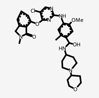 COc1cc(C(O)NC2CCN(C3CCOCC3)CC2)c(C)cc1Nc1ncc(Cl)c(Oc2cccc3c2C(=O)N(C)C3)n1